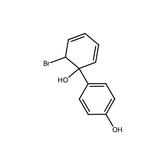 Oc1ccc(C2(O)C=CC=CC2Br)cc1